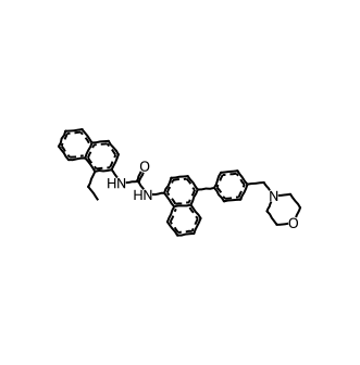 CCc1c(NC(=O)Nc2ccc(-c3ccc(CN4CCOCC4)cc3)c3ccccc23)ccc2ccccc12